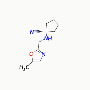 Cc1cnc(CNC2(C#N)CCCC2)o1